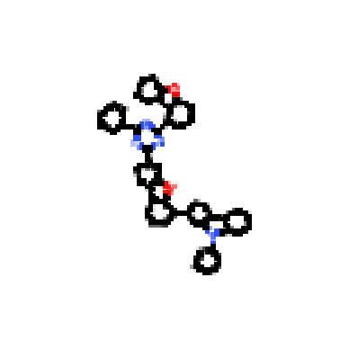 c1ccc(-c2nc(-c3ccc4c(c3)oc3c(-c5ccc6c7ccccc7n(-c7ccccc7)c6c5)cccc34)nc(-c3cccc4oc5ccccc5c34)n2)cc1